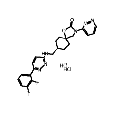 Cl.Cl.O=C1O[C@]2(CC[C@H](CNc3ccc(-c4cccc(F)c4F)nn3)CC2)CN1c1cccnn1